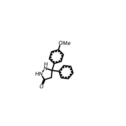 COc1ccc(C2(c3ccccc3)CC(=O)NN2)cc1